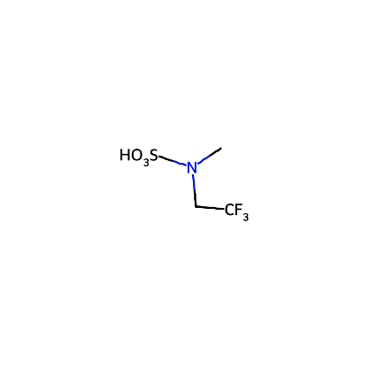 CN(CC(F)(F)F)S(=O)(=O)O